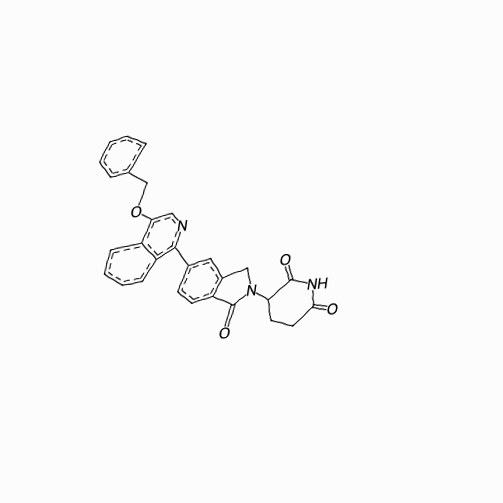 O=C1CCC(N2Cc3cc(-c4ncc(OCc5ccccc5)c5ccccc45)ccc3C2=O)C(=O)N1